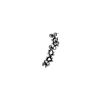 O=C(O[C@@H]1COc2nc([N+](=O)[O-])cn2C1)N1CCN(c2ccc(OC(F)(F)F)cc2)CC1